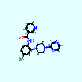 O=C(Nc1ccc(Br)cc1N1CCN(c2cnccn2)CC1)c1cccnc1